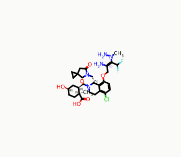 CN(N)/C(=C(\N)COc1ccc(Cl)c2c1[C@@H](CN1CC3(CC3)CC1=O)N(C(=O)[C@@H]1C[C@H](O)CC[C@]1(C)C(=O)O)CC2)C(F)F